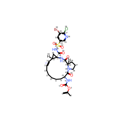 C=C(C)OC(=O)N[C@H]1CCCCC/C=C\[C@@H]2C[C@@]2(C(=O)NS(=O)(=O)c2cnc(Cl)c(Br)c2)NC(=O)[C@@H]2CCCN2C1=O